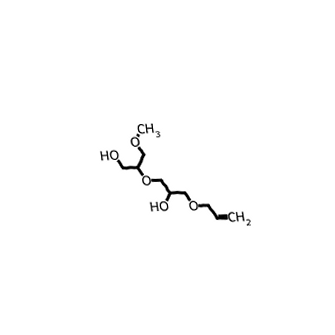 C=CCOCC(O)COC(CO)COC